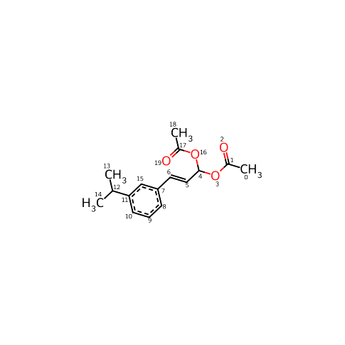 CC(=O)OC(C=Cc1cccc(C(C)C)c1)OC(C)=O